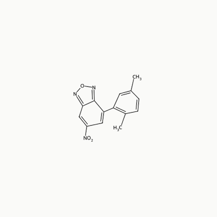 Cc1ccc(C)c(-c2cc([N+](=O)[O-])cc3nonc23)c1